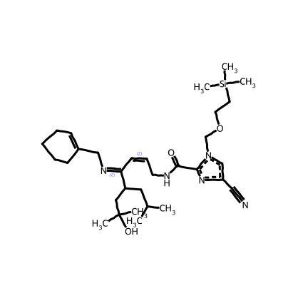 CC(C)CC(CC(C)(C)O)C(/C=C\CNC(=O)c1nc(C#N)cn1COCC[Si](C)(C)C)=N/CC1=CCCCC1